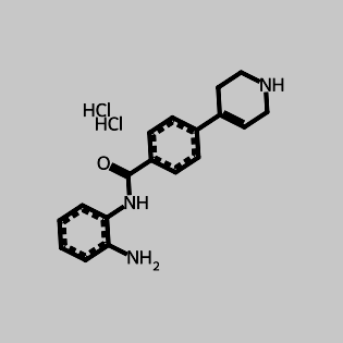 Cl.Cl.Nc1ccccc1NC(=O)c1ccc(C2=CCNCC2)cc1